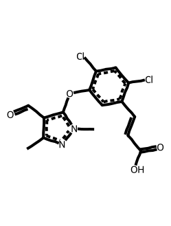 Cc1nn(C)c(Oc2cc(/C=C/C(=O)O)c(Cl)cc2Cl)c1C=O